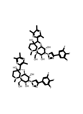 Cc1nc(C)c(C(S[C@@H]2O[C@H](CO)[C@H](O)[C@H](n3cc(-c4cc(F)c(F)c(F)c4)nn3)[C@H]2O)C2(O)CCN(C)CC2)nc1C.Cc1nc(C)c([C@H](S[C@@H]2O[C@H](CO)[C@H](O)[C@H](n3cc(-c4cc(F)c(F)c(F)c4)nn3)[C@H]2O)C2(O)CCN(C)CC2)nc1C